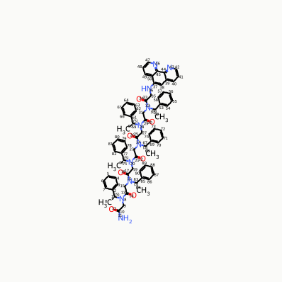 C[C@@H](c1ccccc1)N(CC(N)=O)C(=O)CN(C(=O)CN(C(=O)CN(C(=O)CN(C(=O)CN(C(=O)CNc1cc2cccnc2c2ncccc12)[C@@H](C)c1ccccc1)[C@@H](C)c1ccccc1)[C@@H](C)c1ccccc1)[C@@H](C)c1ccccc1)[C@@H](C)c1ccccc1